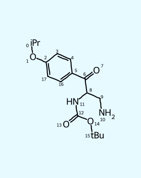 CC(C)Oc1ccc(C(=O)C(CN)NC(=O)OC(C)(C)C)cc1